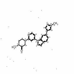 CN1CCN(c2cc(-n3ncc4ccc(-c5cnn(C)c5)cc43)ccn2)CC1=O